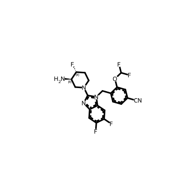 N#Cc1ccc(Cn2c(N3CC[C@@H](F)[C@H](N)C3)nc3cc(F)c(F)cc32)c(OC(F)F)c1